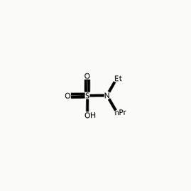 CCCN(CC)S(=O)(=O)O